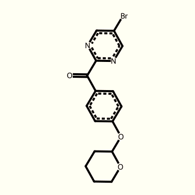 O=C(c1ccc(OC2CCCCO2)cc1)c1ncc(Br)cn1